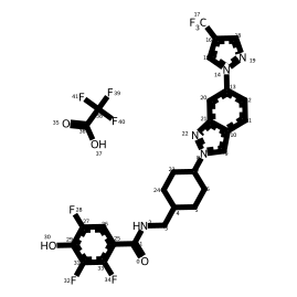 O=C(NCC1CCC(n2cc3ccc(-n4cc(C(F)(F)F)cn4)cc3n2)CC1)c1cc(F)c(O)c(F)c1F.O=C(O)C(F)(F)F